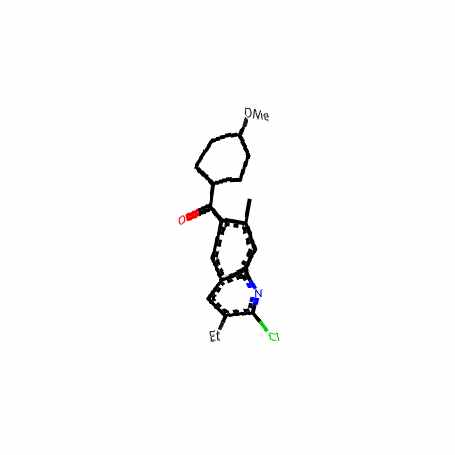 CCc1cc2cc(C(=O)C3CCC(OC)CC3)c(C)cc2nc1Cl